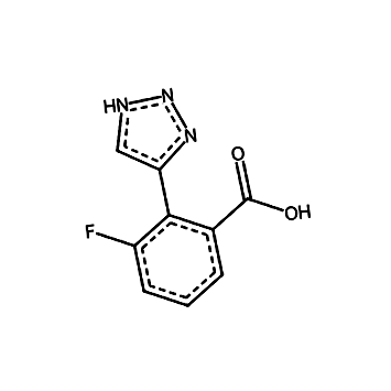 O=C(O)c1cccc(F)c1-c1c[nH]nn1